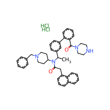 CC(c1cccc(-c2ccccc2C(=O)N2CCNCC2)c1)N(C(=O)Cc1cccc2ccccc12)C1CCN(Cc2ccccc2)CC1.Cl.Cl